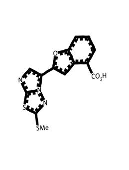 CSc1nn2c(-c3cc4c(C(=O)O)cccc4o3)cnc2s1